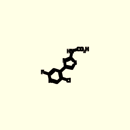 O=C(O)Nc1nc(-c2cc(F)ncc2Cl)cs1